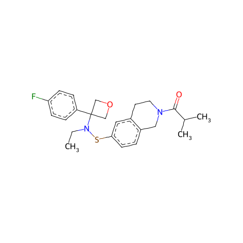 CCN(Sc1ccc2c(c1)CCN(C(=O)C(C)C)C2)C1(c2ccc(F)cc2)COC1